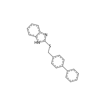 c1ccc(-c2ccc(CSc3nc4ccccc4[nH]3)cc2)cc1